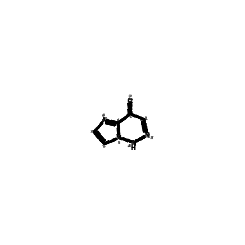 O=c1cn[nH]n2ccnc12